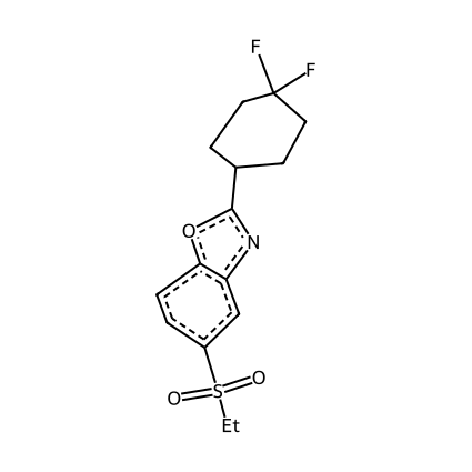 CCS(=O)(=O)c1ccc2oc(C3CCC(F)(F)CC3)nc2c1